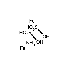 N.O=S(=O)(O)O.O=S(=O)(O)O.[Fe].[Fe]